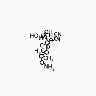 Cc1c(COc2cc(OCc3cncc(C#N)c3)c(CN[C@@](C)(CO)C(=O)O)cc2Cl)cccc1-c1cccc(-c2cccc(CN)c2)c1C